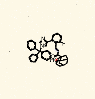 O=C(/C=C/c1c(F)cccc1-c1cn(C(c2ccccc2)(c2ccccc2)c2ccccc2)cn1)C12CC3CC(C1)C(O)C(C3)C2